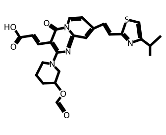 CC(C)c1csc(C=Cc2ccn3c(=O)c(C=CC(=O)O)c(N4CCCC(OC=O)C4)nc3c2)n1